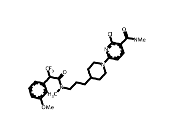 CNC(=O)c1ccc(N2CCC(CCCN(C)C(=O)C(c3cccc(OC)c3)C(F)(F)F)CC2)nc1Cl